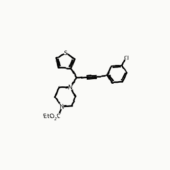 CCOC(=O)N1CCN(C(C#Cc2cccc(Cl)c2)c2ccsc2)CC1